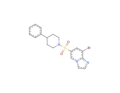 O=S(=O)(c1cc(Br)c2nccn2c1)N1CCC(c2ccccc2)CC1